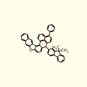 CC1(C)c2ccccc2-c2ccc(N(c3ccc(-c4ccccc4)cc3)c3ccc4oc5cc6ccccc6cc5c4c3-c3ccccc3)cc21